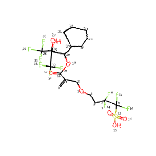 C=C(COCCC(F)(F)C(F)(F)S(=O)(=O)O)C(=O)OC(C1CCCCC1)C(O)(C(F)(F)F)C(F)(F)F